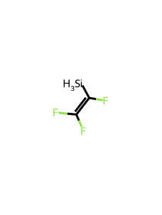 FC(F)=C(F)[SiH3]